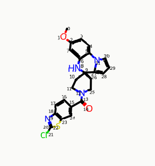 COc1ccc2c(c1)NC1(CCN(C(=O)c3ccc4nc(Cl)sc4c3)CC1)c1cccn1-2